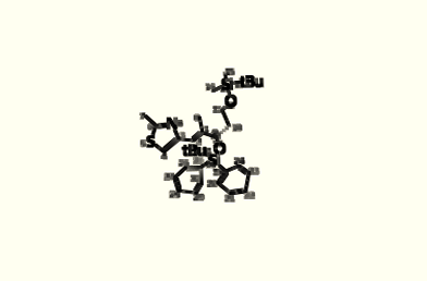 CC(=Cc1csc(C)n1)[C@H](CCO[Si](C)(C)C(C)(C)C)O[Si](c1ccccc1)(c1ccccc1)C(C)(C)C